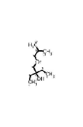 CCC(O)(CC)COCC(C)C